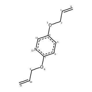 C=CCOc1ccc(OCC=C)nc1